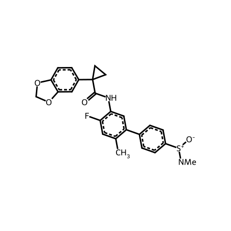 CN[S+]([O-])c1ccc(-c2cc(NC(=O)C3(c4ccc5c(c4)OCO5)CC3)c(F)cc2C)cc1